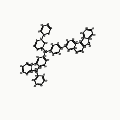 C1=CCC(C2C=CC=C(N(c3ccc(-c4ccc5c(ccc6oc7ccccc7c65)c4)cc3)c3ccc4c(c3)c3ccccc3n4-c3ccccc3)C2)C=C1